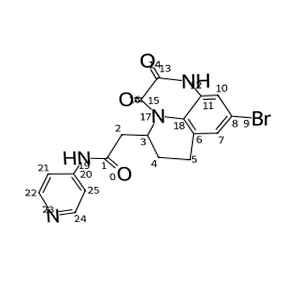 O=C(CC1CCc2cc(Br)cc3[nH]c(=O)c(=O)n1c23)Nc1ccncc1